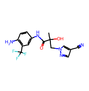 CC(O)(Cn1cc(C#N)cn1)C(=O)Nc1ccc(N)c(C(F)(F)F)c1